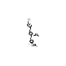 Cc1ncc(CCc2ccc(CCc3cc(F)c(C)c(F)c3)c(C)c2)cn1